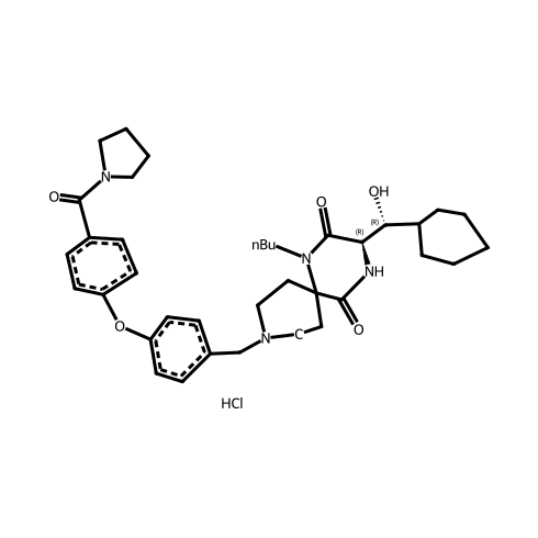 CCCCN1C(=O)[C@@H]([C@H](O)C2CCCCC2)NC(=O)C12CCN(Cc1ccc(Oc3ccc(C(=O)N4CCCC4)cc3)cc1)CC2.Cl